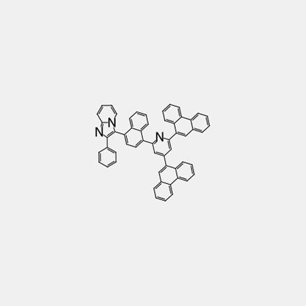 c1ccc(-c2nc3ccccn3c2-c2ccc(-c3cc(-c4cc5ccccc5c5ccccc45)cc(-c4cc5ccccc5c5ccccc45)n3)c3ccccc23)cc1